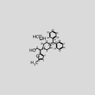 Cc1ccc(C(CO)N2CCN(C(c3ccccc3)c3ccccc3)CC2)o1.Cl.Cl